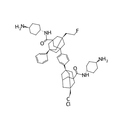 N[C@H]1CC[C@H](NC(=O)C23CC4C[C@@](CCCl)(C2)C[C@](c2ccc(C56CC7(C(=O)N[C@H]8CC[C@H](N)CC8)C[C@](CCF)(C5)C[C@@](c5ccccc5)(C7)C6)cc2)(C4)C3)CC1